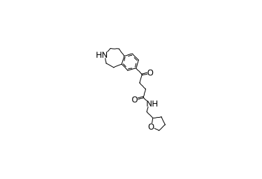 O=C(CCC(=O)c1ccc2c(c1)CCNCC2)NCC1CCCO1